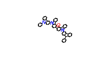 c1ccc(C2c3ccccc3-c3cc(-n4c5ccccc5c5c6oc7c(ccc8c7c7ccccc7n8-c7ccc8c(c7)c7ccccc7n8-c7ccccc7)c6ccc54)ccc32)cc1